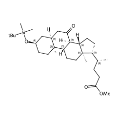 COC(=O)CC[C@@H](C)[C@H]1CC[C@H]2[C@@H]3C(=O)C[C@@H]4C[C@H](O[Si](C)(C)C(C)(C)C)CC[C@]4(C)[C@H]3CC[C@]12C